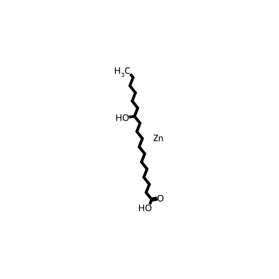 CCCCCCC(O)CCCCCCCCCCC(=O)O.[Zn]